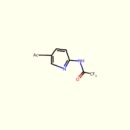 CC(=O)c1ccc(NC(=O)C(F)(F)F)nc1